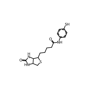 O=C(CCCCC1SCC2NC(=O)NC21)Nc1ccc(S)cc1